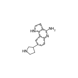 Nc1nc2ccc(C3CCNC3)cc2c2[nH]ccc12